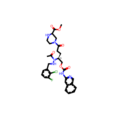 COC(=O)C1CN(C(=O)CC[C@@H](COC(=O)Nc2cc3ccccc3cn2)N(NCc2cccc(F)c2Cl)C(C)=O)CCN1